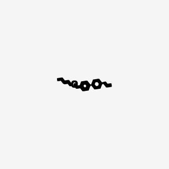 C=CC[C@H]1CC[C@H](c2ccc(COCC=CCC)cc2)CC1